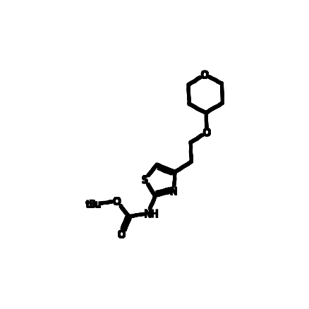 CC(C)(C)OC(=O)Nc1nc(CCOC2CCOCC2)cs1